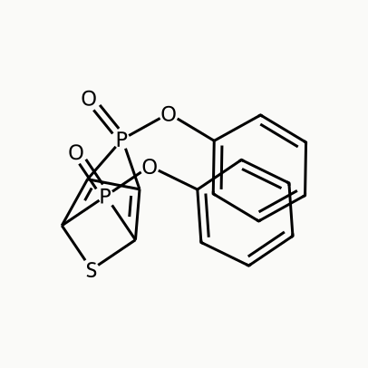 O=P1(Oc2ccccc2)C2=C3C(=C1S2)P3(=O)Oc1ccccc1